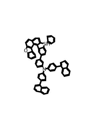 c1ccc([SiH]2c3ccc(-c4cccc(N(c5ccc(-c6cccc7ccccc67)cc5)c5ccc(-c6cccc7ccccc67)cc5)c4)cc3-c3c2ccc2ccc4oc5ccccc5c4c32)cc1